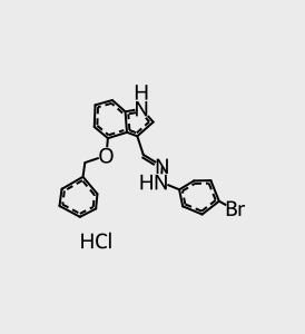 Brc1ccc(N/N=C/c2c[nH]c3cccc(OCc4ccccc4)c23)cc1.Cl